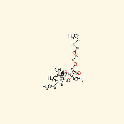 CCCCOCCOCC(=O)C(C)(C)OC(CCCC)C(=O)C(C)C